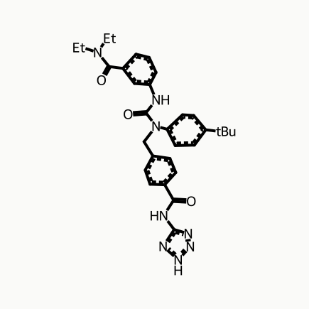 CCN(CC)C(=O)c1cccc(NC(=O)N(Cc2ccc(C(=O)Nc3nn[nH]n3)cc2)c2ccc(C(C)(C)C)cc2)c1